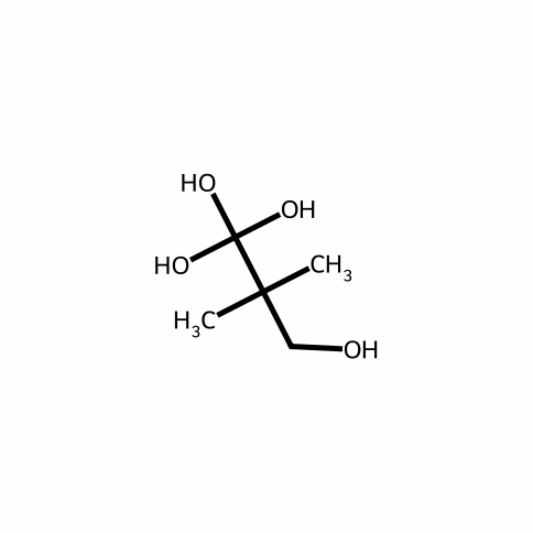 CC(C)(CO)C(O)(O)O